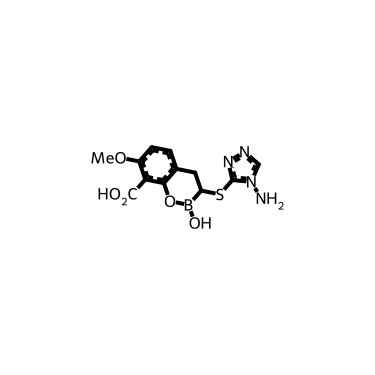 COc1ccc2c(c1C(=O)O)OB(O)C(Sc1nncn1N)C2